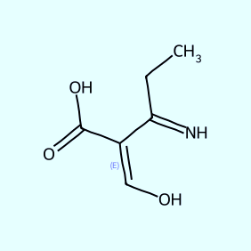 CCC(=N)/C(=C\O)C(=O)O